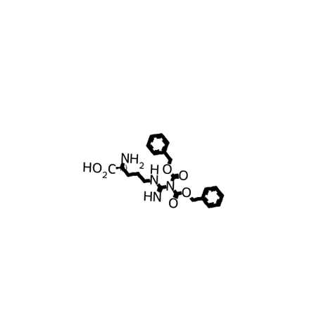 N=C(NCCC[C@H](N)C(=O)O)N(C(=O)OCc1ccccc1)C(=O)OCc1ccccc1